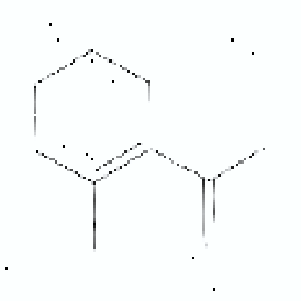 C=C(C)C1=C(C)CCCC1